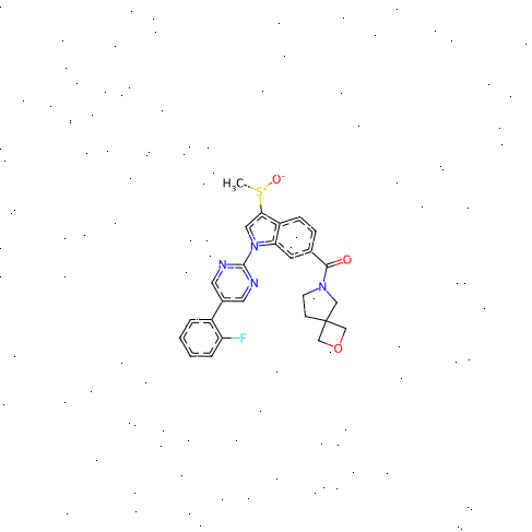 C[S+]([O-])c1cn(-c2ncc(-c3ccccc3F)cn2)c2cc(C(=O)N3CCC4(COC4)C3)ccc12